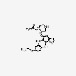 CCOc1ccc(Nc2c(C)c(O[C@H]3CNCC[C@@H]3CC(N)=O)nc3ccnn23)cc1